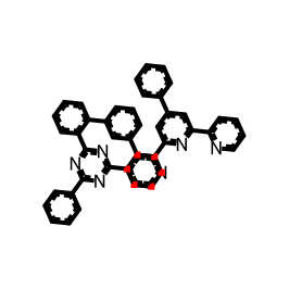 c1ccc(-c2cc(-c3ccccn3)nc(-c3ncccc3-c3cccc(-c4ccccc4-c4nc(-c5ccccc5)nc(-c5ccccc5)n4)c3)c2)cc1